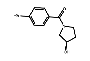 CC(C)(C)c1ccc(C(=O)N2CC[C@@H](O)C2)cc1